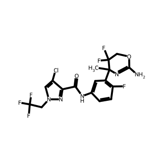 CC1(c2cc(NC(=O)c3nn(CC(F)(F)F)cc3Cl)ccc2F)N=C(N)OCC1(F)F